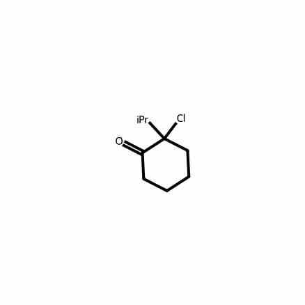 CC(C)C1(Cl)CCCCC1=O